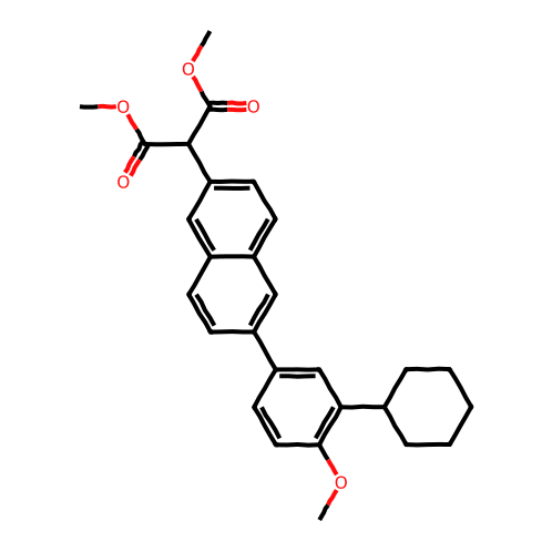 COC(=O)C(C(=O)OC)c1ccc2cc(-c3ccc(OC)c(C4CCCCC4)c3)ccc2c1